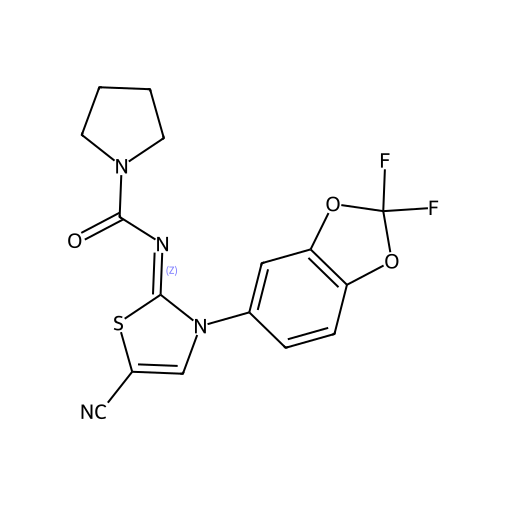 N#Cc1cn(-c2ccc3c(c2)OC(F)(F)O3)/c(=N/C(=O)N2CCCC2)s1